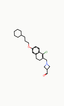 O=[C]C1CN(CC2=C(Cl)c3ccc(OCCCC4CCCCC4)cc3CC2)C1